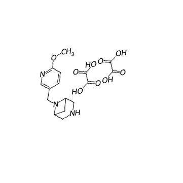 COc1ccc(CN2C3CNCC2C3)cn1.O=C(O)C(=O)O.O=C(O)C(=O)O